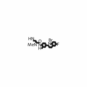 CN/C(=C\C=N)C(=O)Nc1ccc(-c2ccc3cc(F)cc(Br)c3n2)cc1C